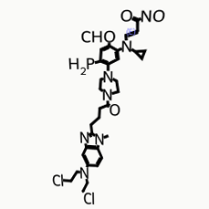 Cn1c(CCCC(=O)N2CCN(c3cc(N(/C=C/C(=O)N=O)C4CC4)c(C=O)cc3P)CC2)nc2cc(N(CCCl)CCCl)ccc21